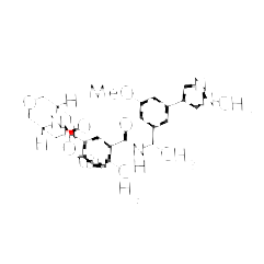 COc1cc(-c2cnn(C)c2)cc([C@@H](C)NC(=O)c2cc(N3C[C@H]4COC[C@@H](C3)N4C(=O)OC(C)(C)C)ccc2C)c1